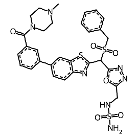 CN1CCN(C(=O)c2cccc(-c3ccc4nc(C(c5nnc(CNS(N)(=O)=O)o5)S(=O)(=O)Cc5ccccc5)sc4c3)c2)CC1